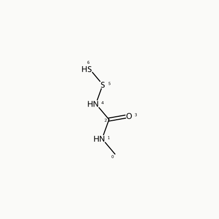 CNC(=O)NSS